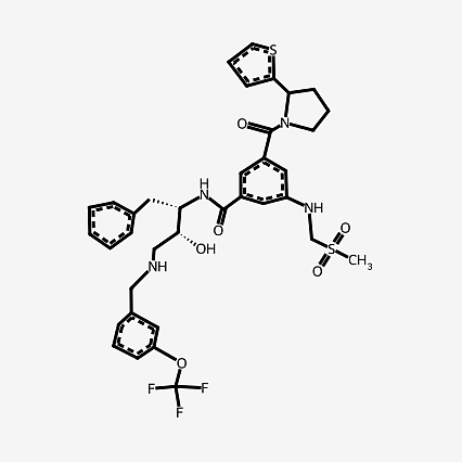 CS(=O)(=O)CNc1cc(C(=O)N[C@@H](Cc2ccccc2)[C@H](O)CNCc2cccc(OC(F)(F)F)c2)cc(C(=O)N2CCCC2c2cccs2)c1